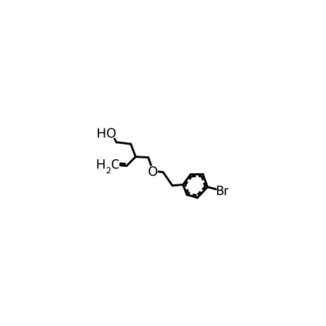 C=CC(CCO)COCCc1ccc(Br)cc1